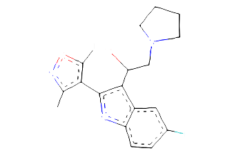 CCc1onc(C)c1-c1[nH]c2ccc(F)cc2c1C(O)CN1CCCC1